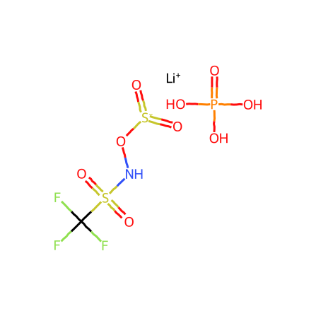 O=P(O)(O)O.O=[S-](=O)ONS(=O)(=O)C(F)(F)F.[Li+]